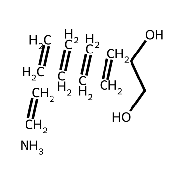 C=C.C=C.C=C.C=C.C=C.N.OCCO